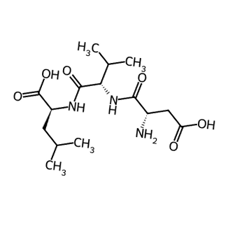 CC(C)C[C@H](NC(=O)[C@@H](NC(=O)[C@@H](N)CC(=O)O)C(C)C)C(=O)O